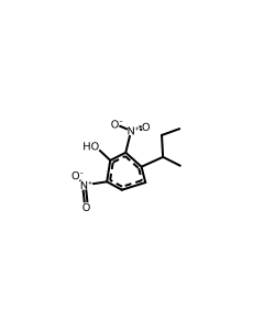 CCC(C)c1ccc([N+](=O)[O-])c(O)c1[N+](=O)[O-]